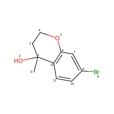 CC1(O)CCOc2cc(Br)ccc21